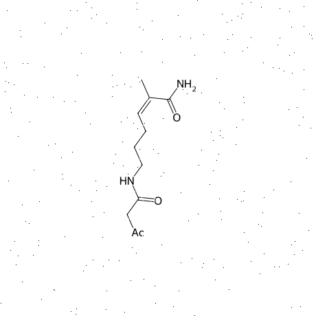 CC(=O)CC(=O)NCCCC=C(C)C(N)=O